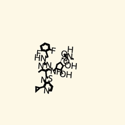 CNS(=O)(=O)C[C@H]1CC(Nc2nc(NCc3c(F)cccc3F)nc(C)c2-c2nc3c(C4CC4)nccc3s2)[C@H](O)[C@@H]1O